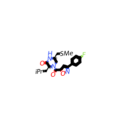 CSC[C@H]1CN(C(=O)c2cc(-c3ccc(F)cc3)no2)[C@@H](CC(C)C)C(=O)N1